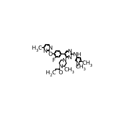 C=CC(=O)N1CCN(c2nc(Nc3cc(C)n(C)c3)ncc2-c2ccc(Oc3nccc(C)n3)c(F)c2)C[C@@H]1C